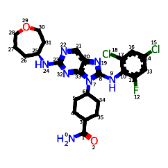 NC(=O)C1CCC(n2c(Nc3c(F)cc(Cl)cc3Cl)nc3cnc(N[C@H]4CCCOCC4)nc32)CC1